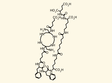 NCC1(NC(=O)CCCC(=O)O)CNCCNCC(CN)(NC(=O)CCCC(=O)NC(Cc2ccccc2)C(=O)NC(Cc2ccccc2)C(=O)NC(CCCCNC(=O)CCCCCCC(=O)NCCCCC(NC(=O)NC(CCC(=O)O)C(=O)O)C(=O)O)C(=O)O)CNCCNC1